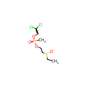 CC[S+]([O-])CCOP(C)(=O)OC=C(Cl)Cl